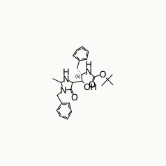 CC1NC(C(O)[C@H](Cc2ccccc2)NC(=O)OC(C)(C)C)C(=O)N1Cc1ccccc1